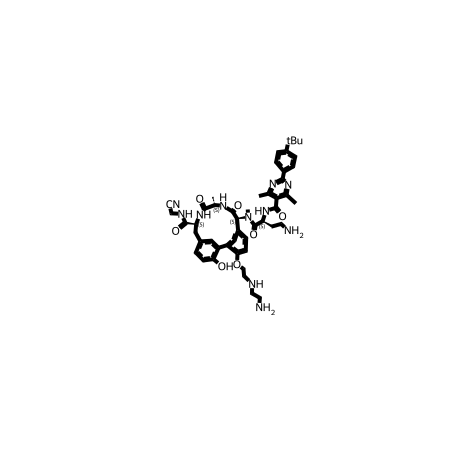 Cc1nc(-c2ccc(C(C)(C)C)cc2)nc(C)c1C(=O)N[C@@H](CCN)C(=O)N(C)[C@@H]1C(=O)N[C@@H](C)C(=O)N[C@H](C(=O)NCC#N)Cc2ccc(O)c(c2)-c2cc1ccc2OCCNCCN